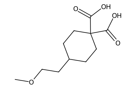 COCCC1CCC(C(=O)O)(C(=O)O)CC1